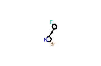 Fc1cccc(C#Cc2cncc(Br)c2)c1